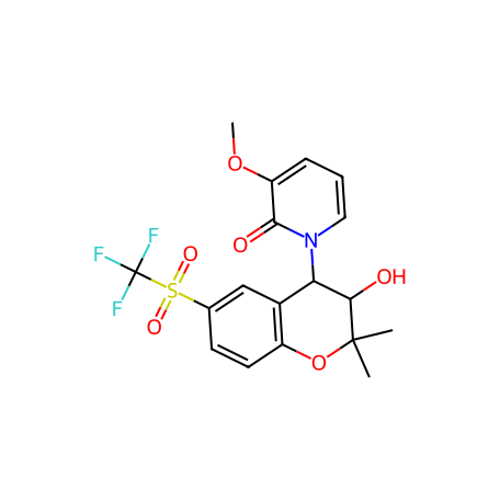 COc1cccn(C2c3cc(S(=O)(=O)C(F)(F)F)ccc3OC(C)(C)C2O)c1=O